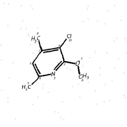 COc1nc(C)cc(C)c1Cl